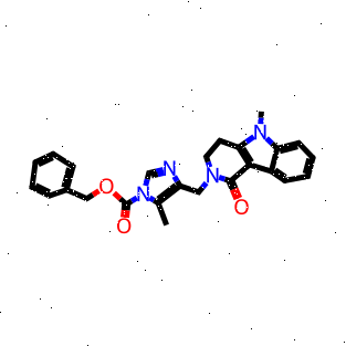 Cc1c(CN2CCc3c(c4ccccc4n3C)C2=O)ncn1C(=O)OCc1ccccc1